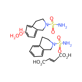 NS(=O)(=O)N1CCc2ccccc2C1.NS(=O)(=O)N1CCc2ccccc2C1.O.O.O=C(O)C=CC(=O)O